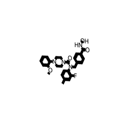 COc1ccccc1N1CCN(C(=O)N(Cc2ccc(C(=O)NO)cc2)c2ccc(C)cc2F)CC1